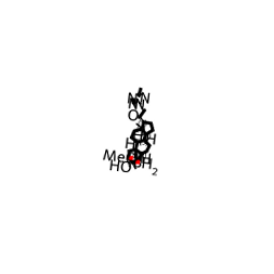 B[C@H](OC)C12CC[C@@](C)(O)C[C@H]1CC[C@@H]1[C@@H]2CC[C@]2(C)[C@@H](C(=O)Cn3nnc(C)n3)CC[C@@H]12